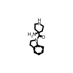 NC1(C(=O)N2CCc3ccccc32)CCNCC1